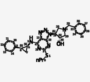 CCCSc1nc(N[C@H]2C[C@H]2c2ccccc2)c2nnn([C@H]3CN(Cc4ccccc4)C[C@@H]3O)c2n1